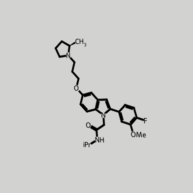 COc1cc(-c2cc3cc(OCCCN4CCC[C@H]4C)ccc3n2CC(=O)NC(C)C)ccc1F